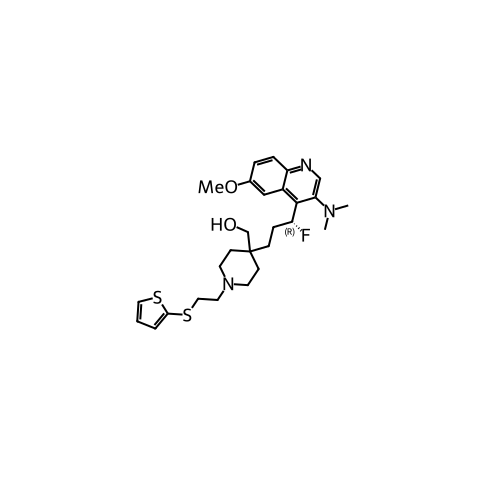 COc1ccc2ncc(N(C)C)c([C@H](F)CCC3(CO)CCN(CCSc4cccs4)CC3)c2c1